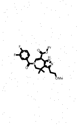 COCCc1n[nH]c2c1C(C)(C)CN(C(=O)c1ccc(F)c(F)c1)C=C2C(=O)OC(C)C